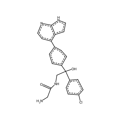 NCC(=O)NCC(O)(c1ccc(Cl)cc1)c1ccc(-c2ccnc3[nH]ccc23)cc1